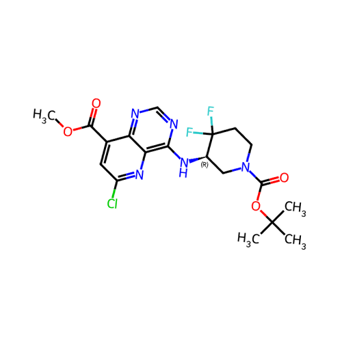 COC(=O)c1cc(Cl)nc2c(N[C@@H]3CN(C(=O)OC(C)(C)C)CCC3(F)F)ncnc12